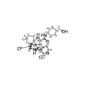 CC1(C)CCC2(CC1)N[C@@H](C(=O)N[C@H]1CC[C@@H](CO)CC1)[C@H](c1ccnc(Cl)c1F)[C@]21C(=O)Nc2cc(Cl)ccc21